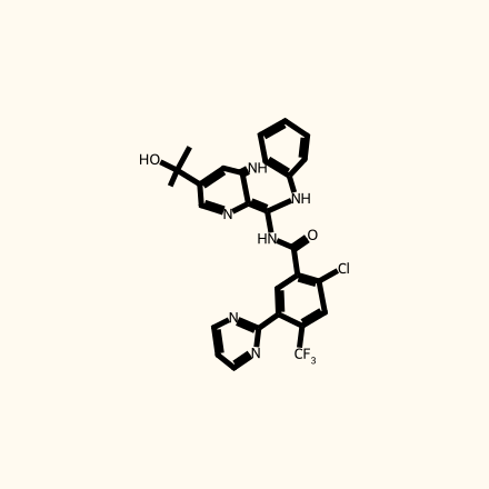 CC(C)(O)C1=CC(=N)/C(=C(/NC(=O)c2cc(-c3ncccn3)c(C(F)(F)F)cc2Cl)Nc2ccccc2)N=C1